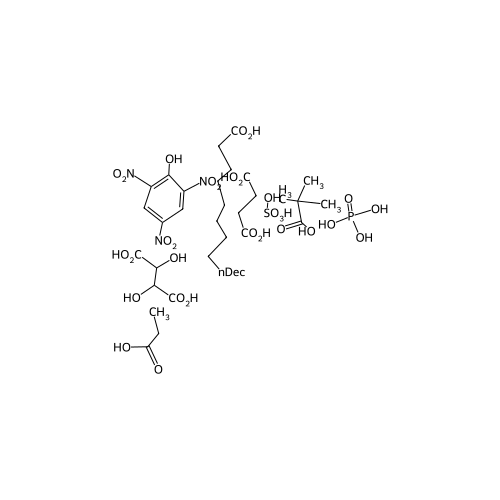 CC(C)(C)C(=O)O.CCC(=O)O.CCCCCCCCCCCCCCCCCC(=O)O.O=C(O)C(O)C(O)C(=O)O.O=C(O)CCC(=O)O.O=P(O)(O)O.O=S(=O)(O)O.O=[N+]([O-])c1cc([N+](=O)[O-])c(O)c([N+](=O)[O-])c1